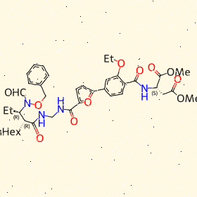 CCCCCC[C@@H](C(=O)NCNC(=O)c1ccc(-c2ccc(C(=O)N[C@@H](CC(=O)OC)C(=O)OC)c(OCC)c2)o1)[C@@H](CC)N(C=O)OCc1ccccc1